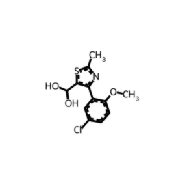 COc1ccc(Cl)cc1-c1nc(C)sc1C(O)O